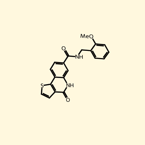 COc1ccccc1CNC(=O)c1ccc2c(c1)[nH]c(=O)c1ccsc12